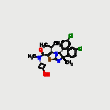 CC(C)C1=C(C(=O)N(C)[C@H]2C[C@H](O)C2)SC2=N[C@@](C)(c3ccc(Cl)cc3)[C@@H](c3ccc(Cl)cc3)N21